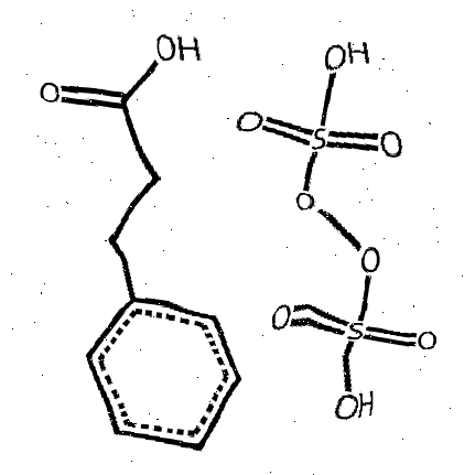 O=C(O)CCc1ccccc1.O=S(=O)(O)OOS(=O)(=O)O